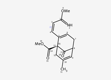 COC(=N)/C=C\C1=CCC2C=C(C)C[C@@]1(C(=O)OC)C2=O